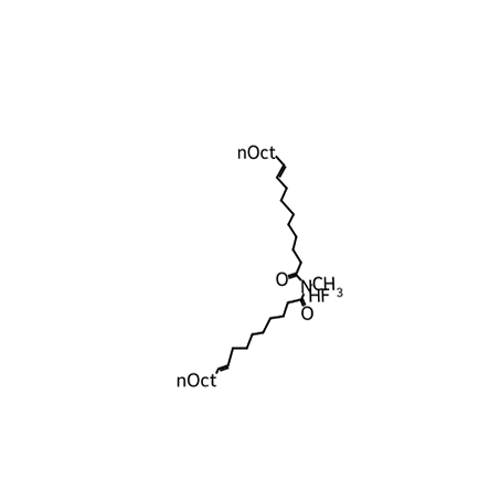 CCCCCCCCC=CCCCCCCCC(=O)N(C)C(=O)CCCCCCCC=CCCCCCCCC.F